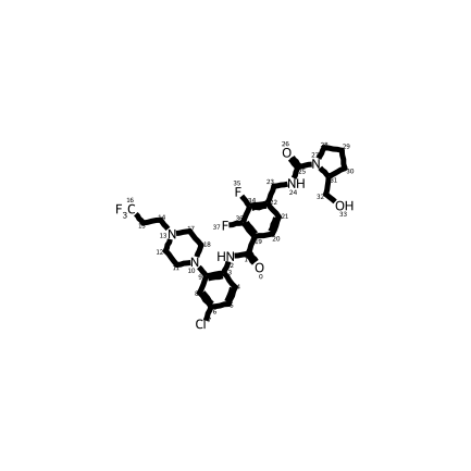 O=C(Nc1ccc(Cl)cc1N1CCN(CCC(F)(F)F)CC1)c1ccc(CNC(=O)N2CCCC2CO)c(F)c1F